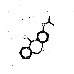 CC(C)Oc1ccc2c(c1)C(Cl)c1ccccc1CO2